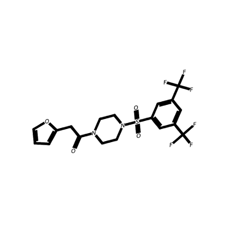 O=C(Cc1ccco1)N1CCN(S(=O)(=O)c2cc(C(F)(F)F)cc(C(F)(F)F)c2)CC1